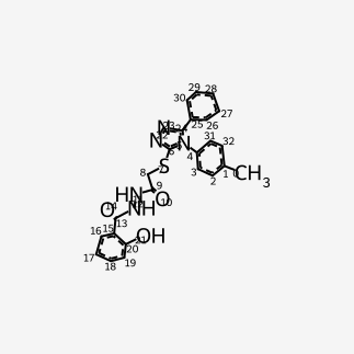 Cc1ccc(-n2c(SCC(=O)NNC(=O)c3ccccc3O)nnc2-c2ccccc2)cc1